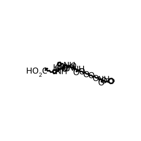 CC(C)(CCCc1ccc(NC(=O)CNC(=O)[C@H](Cc2ccccc2)NC(=O)CNC(=O)CNC(=O)CCOCCOCCOCCOCCNC(=O)OCC2C3CCC#CCCC32)cc1)C(=O)O